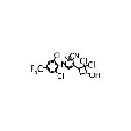 N#Cc1nn(-c2c(Cl)cc(C(F)(F)F)cc2Cl)cc1C1CC(O)C1(Cl)Cl